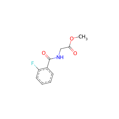 COC(=O)CNC(=O)c1ccccc1F